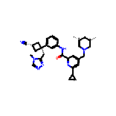 C[C@@H]1C[C@H](C)CN(Cc2cc(C(=O)Nc3cccc([C@]4(Cc5nncn5C)C[C@@H](C#N)C4)c3)nc(C3CC3)c2)C1